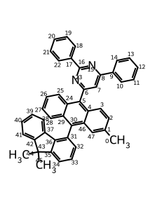 Cc1ccc2c(-c3cc(-c4ccccc4)nc(-c4ccccc4)n3)c3ccccc3c(-c3cccc4c3-c3ccccc3C4(C)C)c2c1